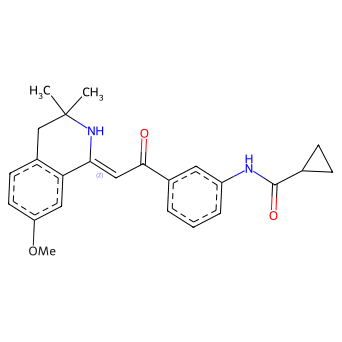 COc1ccc2c(c1)/C(=C/C(=O)c1cccc(NC(=O)C3CC3)c1)NC(C)(C)C2